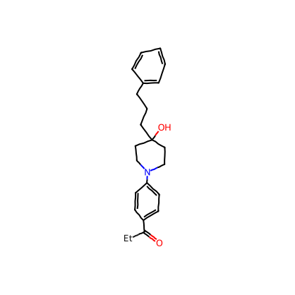 CCC(=O)c1ccc(N2CCC(O)(CCCc3ccccc3)CC2)cc1